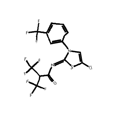 O=C(N=c1sc(Cl)cn1-c1cccc(C(F)(F)F)c1)C(C(F)(F)F)C(F)(F)F